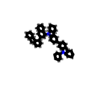 c1ccc(-n2c3ccccc3c3ccc(-c4ccc5c(c4)c4ccccc4n5-c4cc(-c5cccc6c5-c5ccccc5C6)cc5ccccc45)cc32)cc1